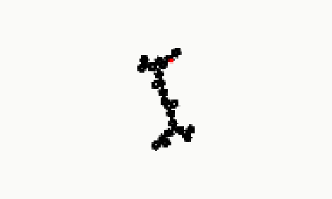 c1ccc(-c2ccc(-c3ccc(N(c4ccc(-c5ccc(-c6ccc(-c7ccc8cc(-c9ccc(-c%10ccc(N(c%11ccc(-c%12ccc(-c%13ccccc%13)c%13ccccc%12%13)cc%11)c%11ccc(-n%12c%13ccccc%13c%13ccccc%13%12)cc%11)cc%10)cc9)c9ccccc9c8c7)cc6)c6ccccc56)cc4)c4ccc(-n5c6ccccc6c6ccccc65)cc4)c4ccccc34)cc2)cc1